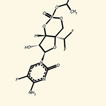 CC(C)OP1(=O)OC[C@@]2(C(F)F)O[C@@H](n3cc(F)c(N)nc3=O)[C@H](O)[C@@H]2O1